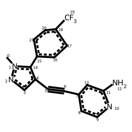 Cn1ncc(C#Cc2ccnc(N)c2)c1-c1ccc(C(F)(F)F)cc1